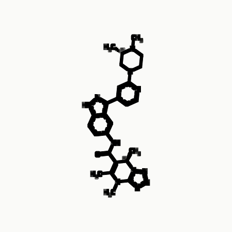 CC1=C(C(=O)Nc2ccc3[nH]nc(-c4ccnc(N5CCN(C)[C@@H](C)C5)c4)c3c2)[C@@H](C)n2nnnc2N1C